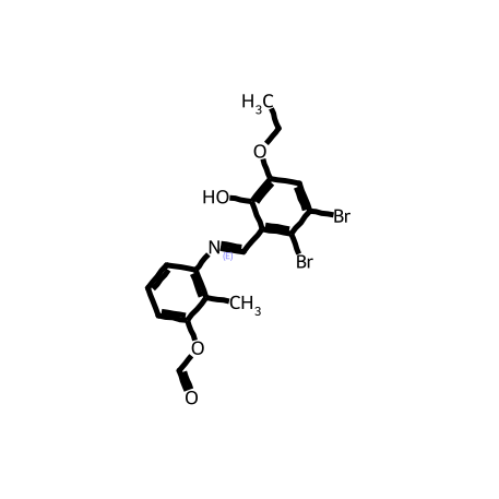 CCOc1cc(Br)c(Br)c(/C=N/c2cccc(OC=O)c2C)c1O